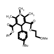 CCCCc1ccc(C2C(C(=O)OCCOC)=C(C)N(C)C(C)=C2C(=O)OC(C)C)cc1